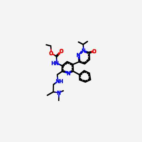 CCOC(=O)Nc1cc(-c2ccc(=O)n(C(C)C)n2)c(-c2ccccc2)nc1CNCC(C)N(C)C